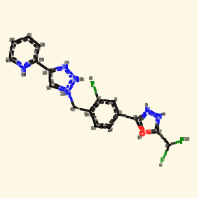 Fc1cc(-c2nnc(C(F)F)o2)ccc1Cn1cc(-c2ccccn2)nn1